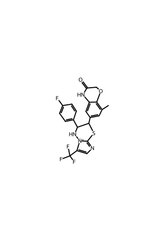 Cc1cc(C2SC3=NC=C(C(F)(F)F)[N+]3NC2c2ccc(F)cc2)cc2c1OCC(=O)N2